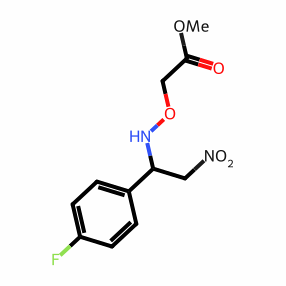 COC(=O)CONC(C[N+](=O)[O-])c1ccc(F)cc1